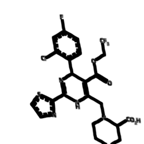 O=C(OCC(F)(F)F)C1=C(CN2CCOCC2C(=O)O)NC(c2nccs2)=NC1c1ccc(F)cc1Cl